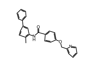 Cc1ccc(-c2ccccc2)cc1NC(=O)c1ccc(OCc2ccccn2)cc1